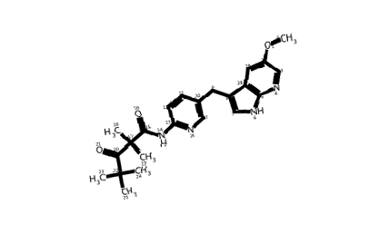 COc1cnc2[nH]cc(Cc3ccc(NC(=O)C(C)(C)C(=O)C(C)(C)C)nc3)c2c1